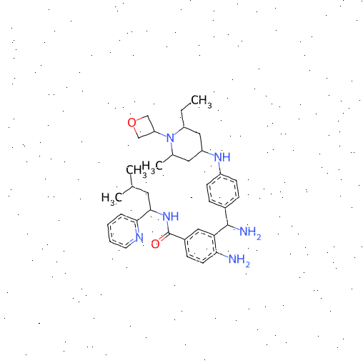 CCC1CC(Nc2ccc(C(N)c3cc(C(=O)NC(CC(C)C)c4ccccn4)ccc3N)cc2)CC(C)N1C1COC1